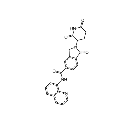 O=C1CCC(N2Cc3cc(C(=O)Nc4cccc5cccnc45)ccc3C2=O)C(=O)N1